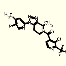 Cc1cc(-n2nnc3c2CCN(C(=O)c2ccnc(C(F)(F)F)c2Cl)C3C)ncc1F